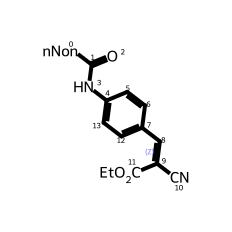 CCCCCCCCCC(=O)Nc1ccc(/C=C(/C#N)C(=O)OCC)cc1